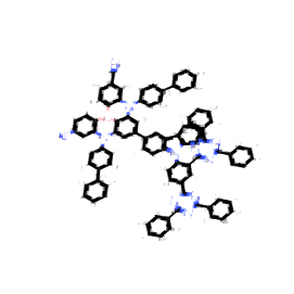 [C-]#[N+]c1ccc2c(c1)N(c1ccc(-c3ccccc3)cc1)c1cc(-c3ccc4c(c3)c3ccccc3n4-c3ccc(-c4nc(-c5ccccc5)nc(-c5ccccc5)n4)cc3-c3nc(-c4ccccc4)nc(-c4ccccc4)n3)cc3c1B2c1ccc(C#N)cc1N3c1ccc(-c2ccccc2)cc1